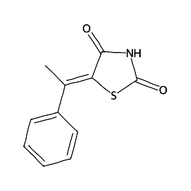 C/C(=C1/SC(=O)NC1=O)c1ccccc1